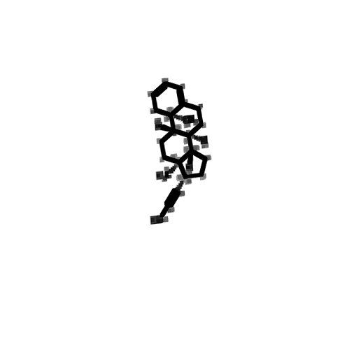 C[C@]12CC[C@H]3[C@@H](CCC4=CC=CC[C@@]43C)[C@@H]1CC[C@@H]2C#CO